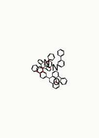 c1ccc(C[C@@H](c2ccc3c(c2)C2(c4ccccc4-3)c3ccccc3N(c3ccccc3)c3ccccc32)c2cc(N(c3cccc(-c4ccccc4)c3)c3cccc(-c4ccccc4)c3)cc3c2oc2ccccc23)cc1